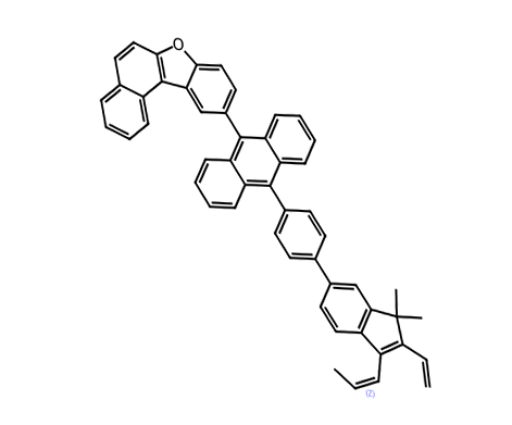 C=CC1=C(/C=C\C)c2ccc(-c3ccc(-c4c5ccccc5c(-c5ccc6oc7ccc8ccccc8c7c6c5)c5ccccc45)cc3)cc2C1(C)C